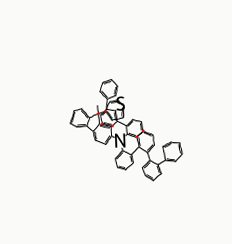 CC1(c2ccccc2)c2ccccc2-c2ccc(N(c3ccccc3-c3ccccc3-c3ccccc3-c3ccccc3)c3ccccc3-c3cccc4c3sc3ccccc34)cc21